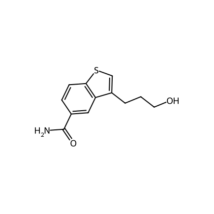 NC(=O)c1ccc2scc(CCCO)c2c1